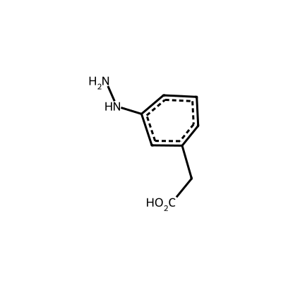 NNc1cccc(CC(=O)O)c1